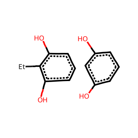 CCc1c(O)cccc1O.Oc1cccc(O)c1